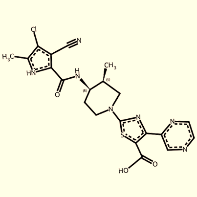 Cc1[nH]c(C(=O)N[C@@H]2CCN(c3nc(-c4cnccn4)c(C(=O)O)s3)C[C@@H]2C)c(C#N)c1Cl